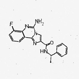 C[C@@H](NC(=O)c1cn2c(N)nc3c(F)cccc3c2n1)c1ccccc1